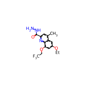 CCOc1cc(OCC(F)(F)F)c2nc(C(=O)NN)cc(C)c2c1